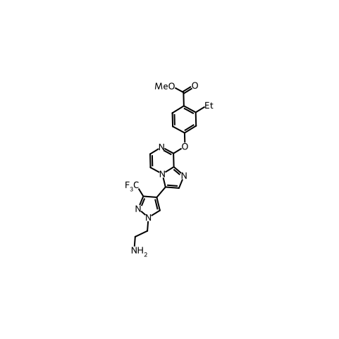 CCc1cc(Oc2nccn3c(-c4cn(CCN)nc4C(F)(F)F)cnc23)ccc1C(=O)OC